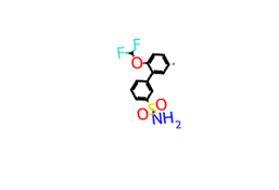 NS(=O)(=O)c1cccc(-c2c[c]ccc2OC(F)F)c1